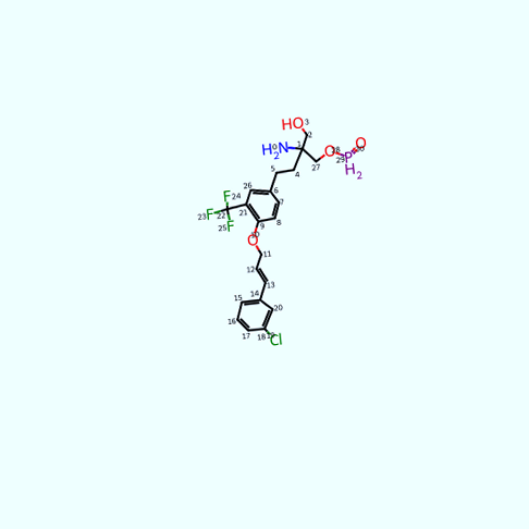 NC(CO)(CCc1ccc(OCC=Cc2cccc(Cl)c2)c(C(F)(F)F)c1)CO[PH2]=O